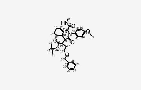 CNC(=O)C(C)N(C(=O)C(C1C=CCCC1)C(CCOCc1ccccc1)C(=O)OC(C)(C)C)c1ccc(OC)cc1